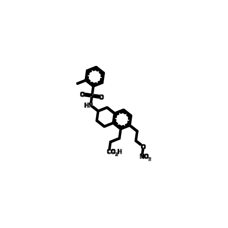 Cc1ccccc1S(=O)(=O)NC1CCc2c(ccc(CCO[N+](=O)[O-])c2CCC(=O)O)C1